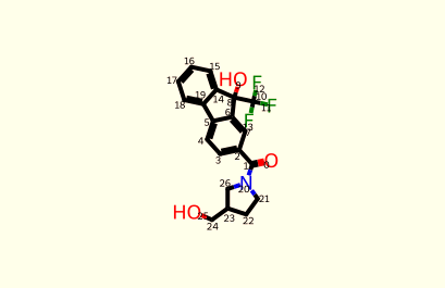 O=C(c1ccc2c(c1)C(O)(C(F)(F)F)c1ccccc1-2)N1CCC(CO)C1